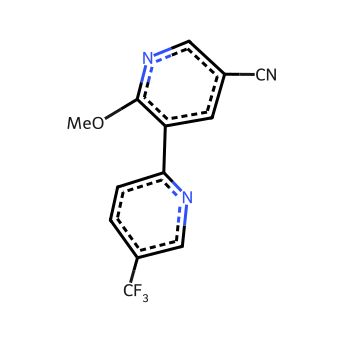 COc1ncc(C#N)cc1-c1ccc(C(F)(F)F)cn1